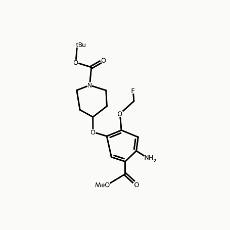 COC(=O)c1cc(OC2CCN(C(=O)OC(C)(C)C)CC2)c(OCF)cc1N